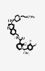 COCCN1CCC(Nc2cnc3ccc(CNC(=O)c4cccn([C@@H](C)c5ccc(F)c(F)c5)c4=O)cc3c2)CC1